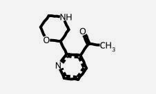 CC(=O)c1cccnc1C1CNCCO1